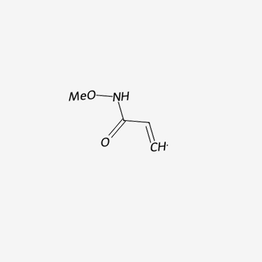 [CH]=CC(=O)NOC